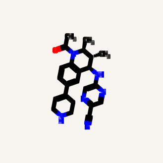 CC(=O)N1c2ccc(C3=CCNCC3)cc2[C@H](Nc2cnc(C#N)cn2)[C@@H](C)[C@@H]1C